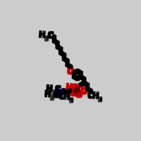 CCCCCCCCCCCCOc1ccc(CC(COP(=O)(O)OCCC[N+](C)(C)C)CC(=O)CC)cc1